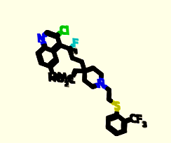 COc1ccc2ncc(Cl)c([C@@H](F)CCC3(CC(=O)O)CCN(CCSc4ccccc4C(F)(F)F)CC3)c2c1